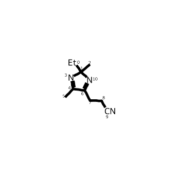 CCC1(C)N=C(C)C(CCC#N)=N1